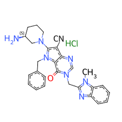 Cl.Cn1c(Cn2cnc3c(C#N)c(N4CCC[C@H](N)C4)n(Cc4ccccc4)c3c2=O)nc2ccccc21